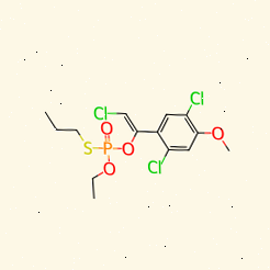 CCCSP(=O)(OCC)OC(=CCl)c1cc(Cl)c(OC)cc1Cl